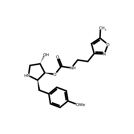 COc1ccc(C[C@H]2NC[C@H](O)[C@H]2OC(=O)NCCc2cc(C)on2)cc1